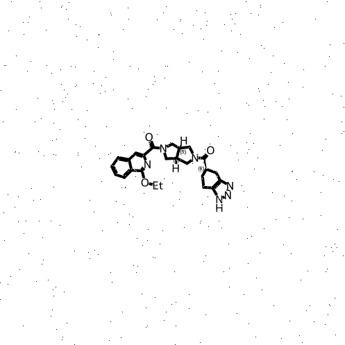 CCOc1nc(C(=O)N2C[C@H]3CN(C(=O)[C@@H]4CCc5[nH]nnc5C4)C[C@@H]3C2)cc2ccccc12